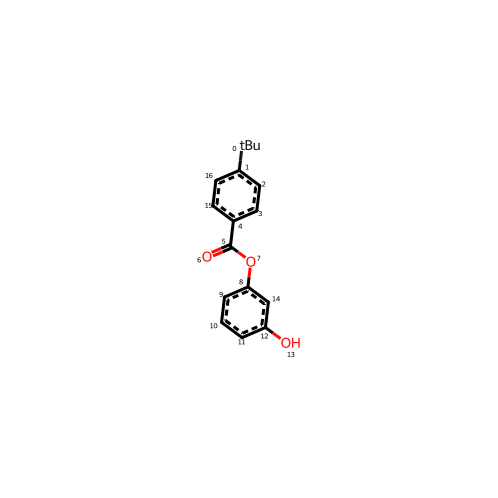 CC(C)(C)c1ccc(C(=O)Oc2cccc(O)c2)cc1